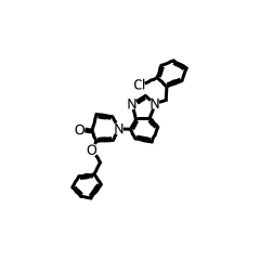 O=c1ccn(-c2cccc3c2ncn3Cc2ccccc2Cl)cc1OCc1ccccc1